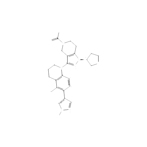 CC(=O)N1CCc2c(c(N3CCCc4c3ccc(-c3cnn(C)c3)c4Cl)nn2[C@H]2CCOC2)C1